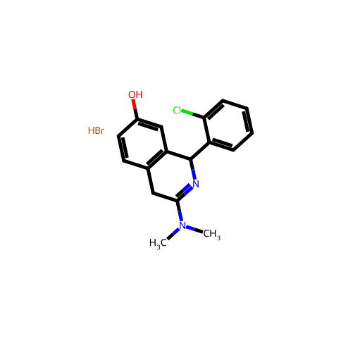 Br.CN(C)C1=NC(c2ccccc2Cl)c2cc(O)ccc2C1